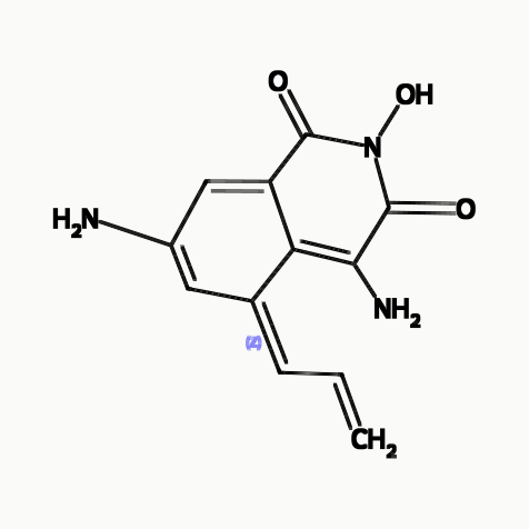 C=C/C=c1/cc(N)cc2c1=C(N)C(=O)N(O)C2=O